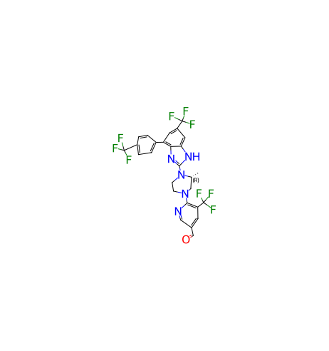 C[C@@H]1CN(c2ncc(C=O)cc2C(F)(F)F)CCN1c1nc2c(-c3ccc(C(F)(F)F)cc3)cc(C(F)(F)F)cc2[nH]1